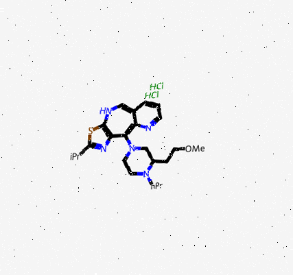 CCCN1CCN(C2=c3ncccc3=CNc3sc(C(C)C)nc32)CC1CCOC.Cl.Cl